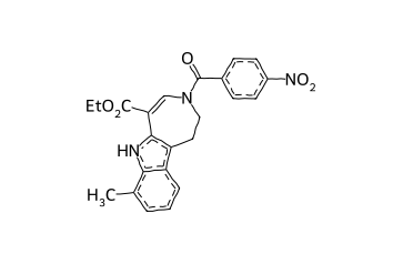 CCOC(=O)C1=CN(C(=O)c2ccc([N+](=O)[O-])cc2)CCc2c1[nH]c1c(C)cccc21